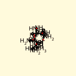 CC(=O)N[C@@H](CCCNC(=N)N)C(=O)N[C@H]1CC(=O)NCCCC[C@@H](C(N)=O)NC(=O)[C@H](Cc2c[nH]c3ccccc23)NC(=O)[C@H](CCCNC(=N)N)NC(=O)[C@@H](Cc2ccccc2)NC(=O)[C@H](CCNC(=O)CN)NC1=O